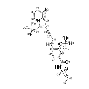 [2H]C([2H])([2H])Oc1nc(C(=O)NS(=O)(=O)C2CC2)ccc1NCC#Cc1cc2c(Br)cccn2c1CC(F)(F)F